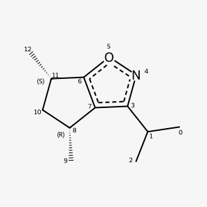 CC(C)c1noc2c1[C@H](C)C[C@@H]2C